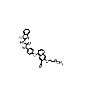 COCCOc1cc2nccc(Oc3ccc(NC(=O)Nc4nc5ccccc5[nH]4)cc3)c2cc1C#N